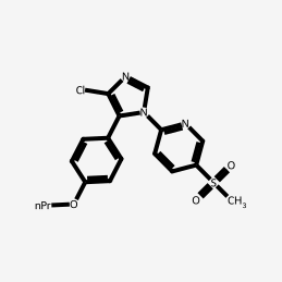 CCCOc1ccc(-c2c(Cl)ncn2-c2ccc(S(C)(=O)=O)cn2)cc1